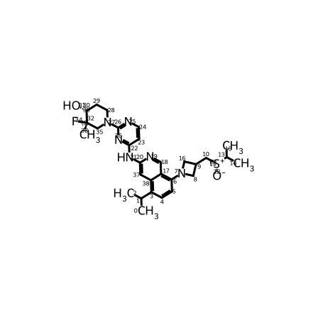 CC(C)c1ccc(N2CC(C[S@@+]([O-])C(C)C)C2)c2cnc(Nc3ccnc(N4CC[C@@H](O)[C@@](C)(F)C4)n3)cc12